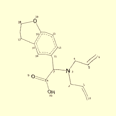 C=CCN(CC=C)C(C(=O)O)c1ccc2c(c1)CCO2